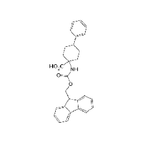 O=C(NC1(C(=O)O)CCC(c2ccccc2)CC1)OCC1c2ccccc2-c2ccccc21